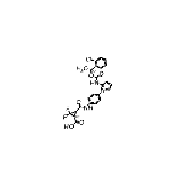 C[C@@H](OC(=O)Nc1cccn1-c1ccc(NC(=O)C2[C@@H](C(=O)O)C2(F)F)cc1)c1ccccc1Cl